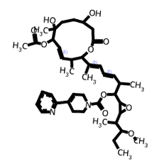 CCC(OC)C(C)C1OC1C(OC(=O)N1CC=C(c2ccccn2)CC1)C(C)/C=C/C=C(\C)C1OC(=O)CC(O)CCC(C)(O)C(OC(C)=O)/C=C/C1C